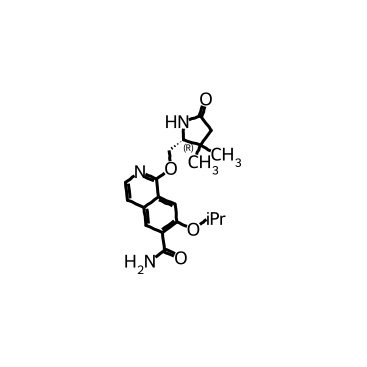 CC(C)Oc1cc2c(OC[C@@H]3NC(=O)CC3(C)C)nccc2cc1C(N)=O